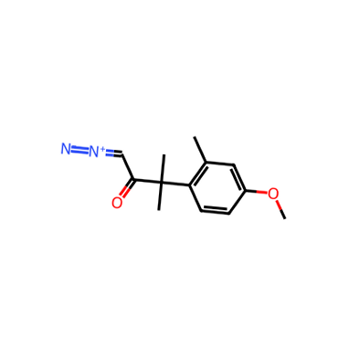 COc1ccc(C(C)(C)C(=O)C=[N+]=[N-])c(C)c1